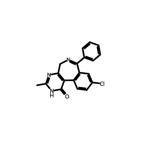 Cc1nc2c(c(=O)[nH]1)-c1ccc(Cl)cc1C(c1ccccc1)=NC2